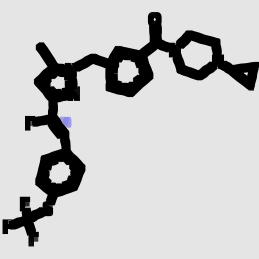 Cc1cc(/C(F)=C/c2ccc(SC(F)(F)F)cc2)nn1Cc1cccc(C(=O)N2CCN(C3CC3)CC2)c1